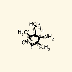 Cc1c[n+]([O-])c(C)c(C)c1N.Cl